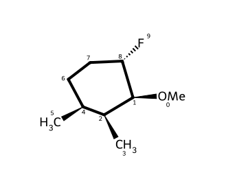 CO[C@H]1[C@@H](C)[C@@H](C)CC[C@@H]1F